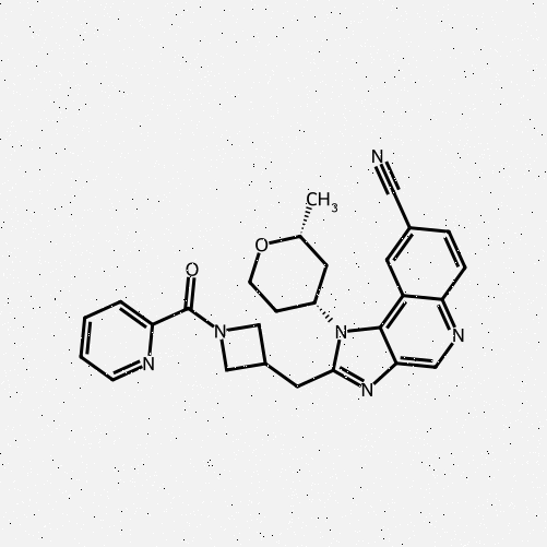 C[C@@H]1C[C@H](n2c(CC3CN(C(=O)c4ccccn4)C3)nc3cnc4ccc(C#N)cc4c32)CCO1